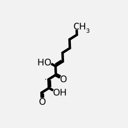 CCCCCC=C(O)C(=O)[C]=C(O)C=O